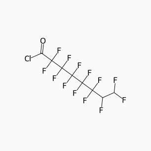 O=C(Cl)C(F)(F)C(F)(F)C(F)(F)C(F)(F)C(F)(F)C(F)C(F)F